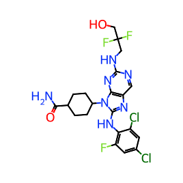 NC(=O)C1CCC(n2c(Nc3c(F)cc(Cl)cc3Cl)nc3cnc(NCC(F)(F)CO)nc32)CC1